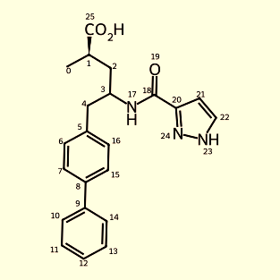 C[C@H](CC(Cc1ccc(-c2ccccc2)cc1)NC(=O)c1cc[nH]n1)C(=O)O